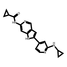 O=C(Nc1cc2[nH]c(-c3ccnc(NC4CC4)c3)cc2cn1)C1CC1